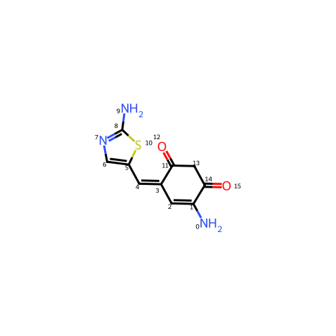 NC1=C/C(=C/c2cnc(N)s2)C(=O)CC1=O